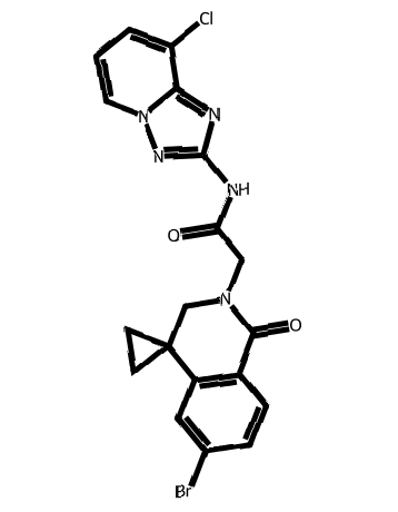 O=C(CN1CC2(CC2)c2cc(Br)ccc2C1=O)Nc1nc2c(Cl)cccn2n1